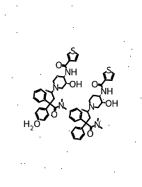 CC(CC(C(=O)N(C)C)(c1ccccc1)c1ccccc1)N1CC[C@H](NC(=O)c2ccsc2)[C@@H](O)C1.CC(CC(C(=O)N(C)C)(c1ccccc1)c1ccccc1)N1CC[C@H](NC(=O)c2ccsc2)[C@@H](O)C1.O